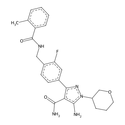 Cc1ccccc1C(=O)NCc1ccc(-c2nn(C3CCCOC3)c(N)c2C(N)=O)cc1F